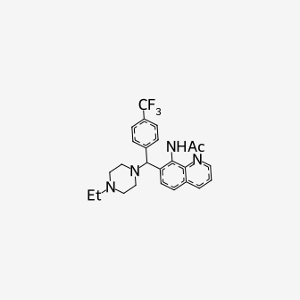 CCN1CCN(C(c2ccc(C(F)(F)F)cc2)c2ccc3cccnc3c2NC(C)=O)CC1